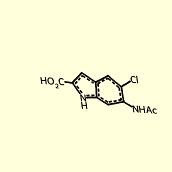 CC(=O)Nc1cc2[nH]c(C(=O)O)cc2cc1Cl